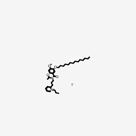 CCCCCCCCCCCCCCOc1cc(C(=O)N(CCCc2cccc[n+]2CCC)C(C)=O)ccc1OC.[I-]